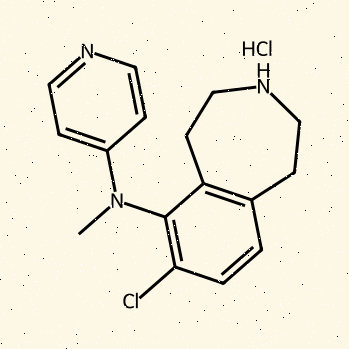 CN(c1ccncc1)c1c(Cl)ccc2c1CCNCC2.Cl